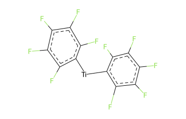 Fc1c(F)c(F)[c]([Ti][c]2c(F)c(F)c(F)c(F)c2F)c(F)c1F